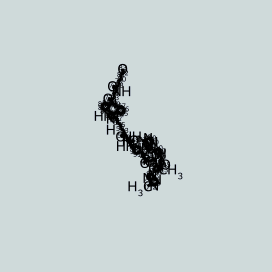 Cc1ncnc2c1ncn2[C@H]1CC(C)([PH](=O)OC[C@@H]2CC[C@H](n3cnc4c(N)ncnc43)O2)[C@@H](CCO[P@@](=O)(O)SCc2ccc(NC(=O)CNC(=O)CCCCCN3NNC4=C3c3ccccc3CN(C(=O)CCNC(=O)CCCCC=O)c3ccccc34)cc2)O1